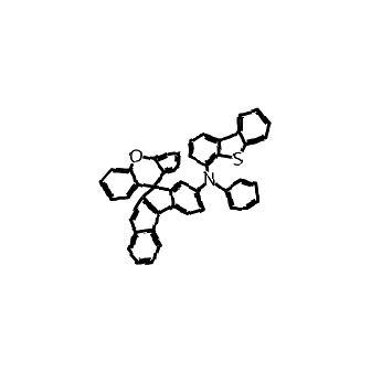 c1ccc(N(c2ccc3c(c2)C2(c4ccccc4Oc4ccccc42)c2ccc4ccccc4c2-3)c2cccc3c2sc2ccccc23)cc1